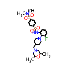 CC1CN(CC2CCN(c3c(F)cccc3NS(=O)(=O)c3ccc(S(=O)(=O)N(C)C)cc3)CC2)CC(C)O1